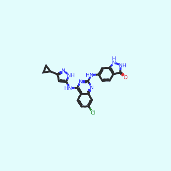 O=c1[nH][nH]c2cc(Nc3nc(Nc4cc(C5CC5)n[nH]4)c4ccc(Cl)cc4n3)ccc12